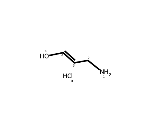 Cl.NCC=CO